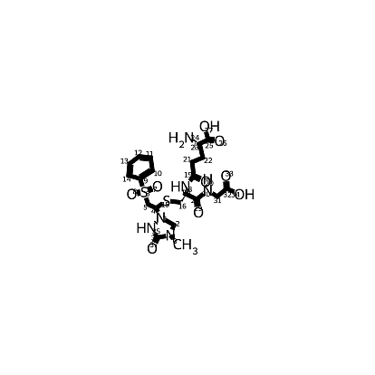 CN1CN(C(CS(=O)(=O)c2ccccc2)SC[C@H](NC(=O)CC[C@H](N)C(=O)O)C(=O)NCC(=O)O)NC1=O